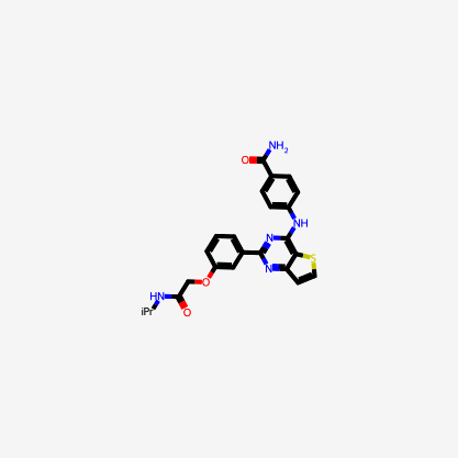 CC(C)NC(=O)COc1cccc(-c2nc(Nc3ccc(C(N)=O)cc3)c3sccc3n2)c1